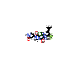 CN1CCC(N2CCN(C(=O)c3nc4c(C(F)(F)F)cc(C5CC5)cn4c3Cl)CC2=O)CC1=O